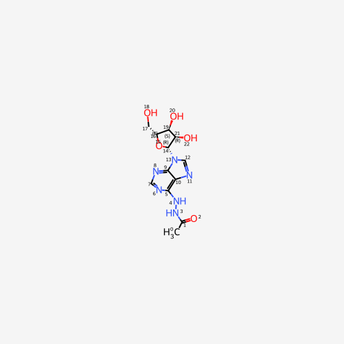 CC(=O)NNc1ncnc2c1ncn2[C@@H]1O[C@H](CO)[C@@H](O)[C@H]1O